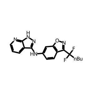 CCCCC(F)(F)c1noc2cc(Nc3n[nH]c4ncccc34)ccc12